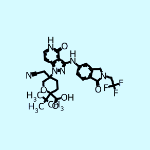 CC(C)(C)C1(C(=O)O)CCC(CC#N)(n2nc(Nc3ccc4c(c3)CN(CC(F)(F)F)C4=O)c3c(=O)[nH]ccc32)CO1